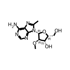 CO[C@@H]1[C@@H](O)[C@@H](CO)O[C@H]1n1c(C)nc2c(N)ncnc21